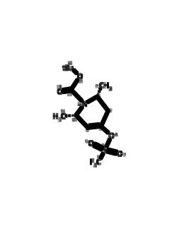 C[C@@H]1CC(OS(=O)(=O)C(F)(F)F)=C[C@H](C)N1C(=O)OC(C)(C)C